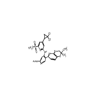 CC(=O)Nc1cc(Nc2cc(C3CC3(Cl)Cl)cc(S(C)(=O)=O)n2)c(-c2ccc3c(n2)OCC(C)(C)O3)cn1